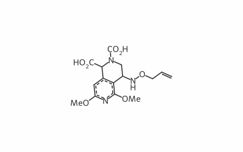 C=CCONC1CN(C(=O)O)C(C(=O)O)c2cc(OC)nc(OC)c21